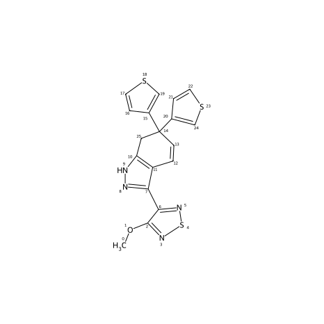 COc1nsnc1-c1n[nH]c2c1C=CC(c1ccsc1)(c1ccsc1)C2